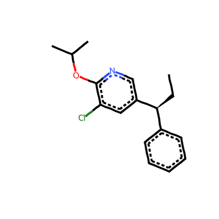 CC[C@@H](c1ccccc1)c1cnc(OC(C)C)c(Cl)c1